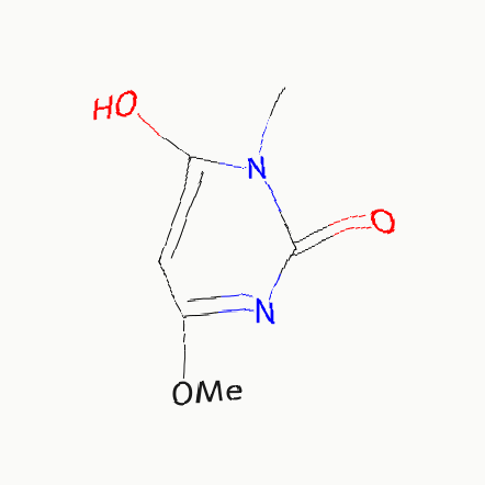 COc1cc(O)n(C)c(=O)n1